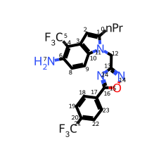 CCCc1cc2c(C(F)(F)F)c(N)ccc2n1Cc1noc(-c2ccc(C(F)(F)F)cc2)n1